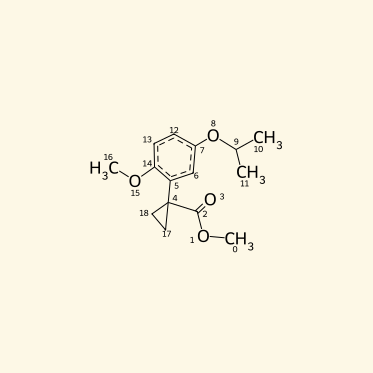 COC(=O)C1(c2cc(OC(C)C)ccc2OC)CC1